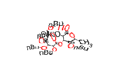 CCCCOCC1O[C@H](OC2C(OC(C)=O)[C@H](O)OC(C)[C@@H]2OCCCC)C(OCCCC)C(OCCCC)[C@@H]1OCCCC